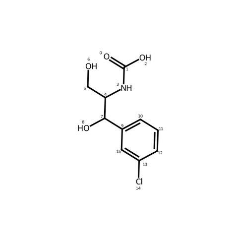 O=C(O)NC(CO)C(O)c1cccc(Cl)c1